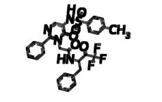 Cc1ccc(S(=O)(=O)Nc2cnc(-c3ccccc3)n(CC(=O)NC(Cc3ccccc3)C(=O)C(F)(F)F)c2=O)cc1